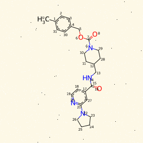 Cc1ccc(COC(=O)N2CCC(CNC(=O)c3ccnc(N4CCCC4)c3)CC2)cc1